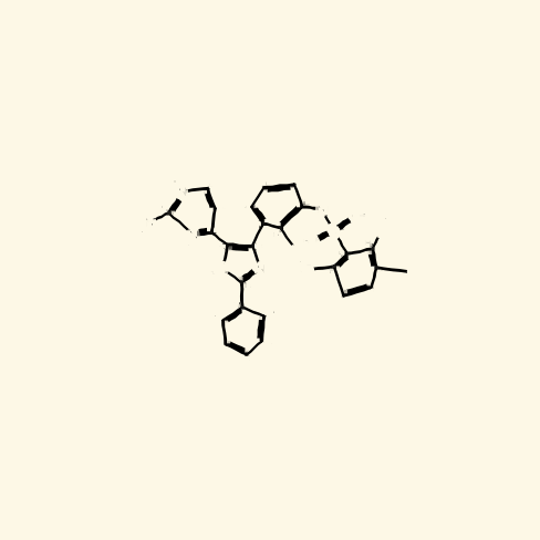 Cc1ccc(F)c(S(=O)(=O)Nc2cccc(-c3nc(-c4ccccc4)sc3-c3ccnc(N)n3)c2F)c1F